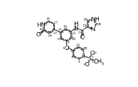 CS(=O)(=O)c1ccc(Oc2cc(NC(=O)c3c[nH]cn3)cc(-c3cc[nH]c(=O)c3)c2)cc1